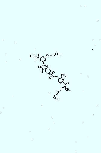 C=CCCOc1cc(C2=NC3(CCN(S(=O)(=O)CCc4ccc(C(=O)N(C)CCOCC=C)cc4C)CC3)C(=O)N2)cc(C(C)(F)F)c1